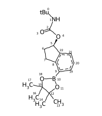 CC(C)(C)NC(=O)O[C@@H]1CCc2c(B3OC(C)(C)C(C)(C)O3)cccc21